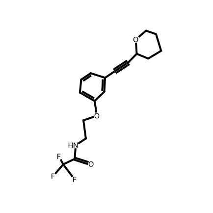 O=C(NCCOc1cccc(C#CC2CCCCO2)c1)C(F)(F)F